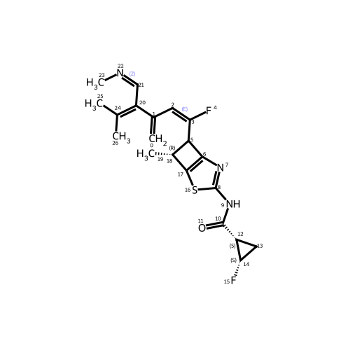 C=C(/C=C(/F)C1c2nc(NC(=O)[C@@H]3C[C@@H]3F)sc2[C@@H]1C)C(/C=N\C)=C(C)C